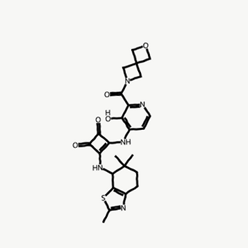 Cc1nc2c(s1)C(Nc1c(Nc3ccnc(C(=O)N4CC5(COC5)C4)c3O)c(=O)c1=O)C(C)(C)CC2